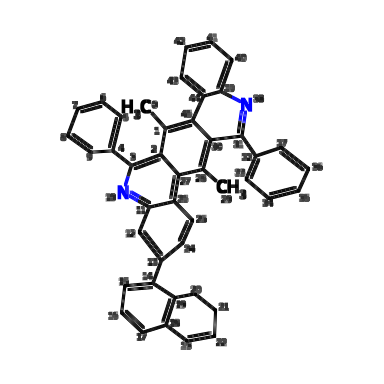 Cc1c2c(-c3ccccc3)nc3cc(-c4cccc5c4CCC=C5)ccc3c2c(C)c2c(-c3ccccc3)nc3ccccc3c12